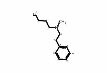 [Li][CH2]CCN(C)CCc1ccccc1